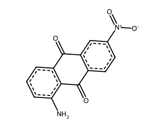 Nc1cccc2c1C(=O)c1ccc([N+](=O)[O-])cc1C2=O